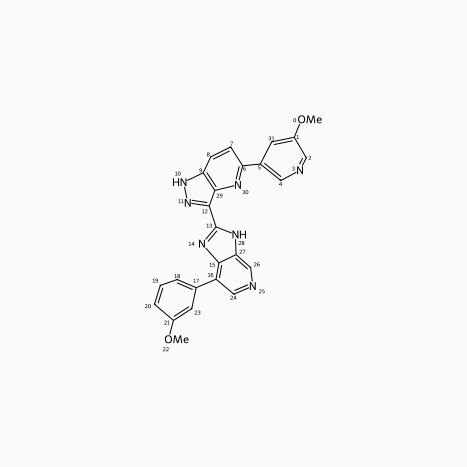 COc1cncc(-c2ccc3[nH]nc(-c4nc5c(-c6cccc(OC)c6)cncc5[nH]4)c3n2)c1